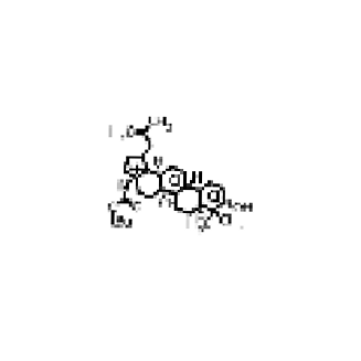 C=C(C)C[C@@H]1CC[C@]2(NC(=O)OC(C)(C)C)CC[C@]3(C)[C@H](CC[C@@H]4[C@@]5(C)CC[C@H](O)C(C)(C)[C@@H]5CC[C@]43C)[C@@H]12